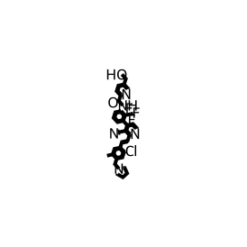 Cc1cc(/C=C/c2nccc(-c3cccc(NC(=O)c4ccc(CO)cn4)c3C(F)(F)F)c2C#N)c(Cl)cc1CN1CCCC1